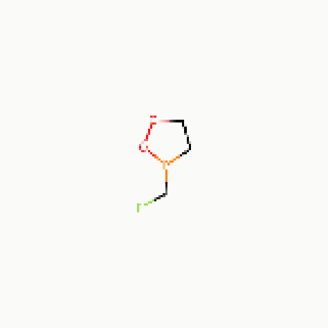 FCP1CCOO1